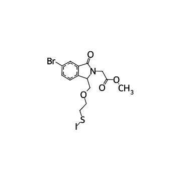 COC(=O)CN1C(=O)c2cc(Br)ccc2C1COCCSI